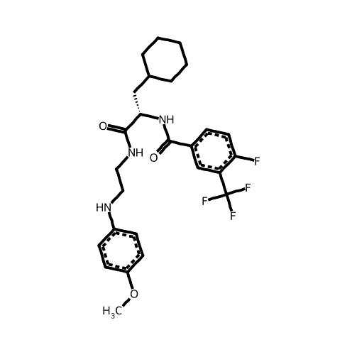 COc1ccc(NCCNC(=O)[C@H](CC2CCCCC2)NC(=O)c2ccc(F)c(C(F)(F)F)c2)cc1